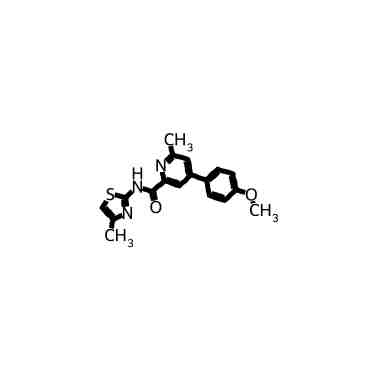 COc1ccc(-c2cc(C)nc(C(=O)Nc3nc(C)cs3)c2)cc1